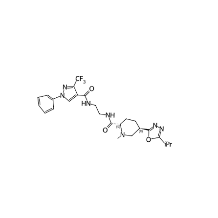 CC(C)c1nnc([C@@H]2CC[C@@H](C(=O)NCCNC(=O)c3cn(-c4ccccc4)nc3C(F)(F)F)N(C)C2)o1